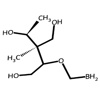 BCOC(CO)[C@](C)(CO)[C@H](C)O